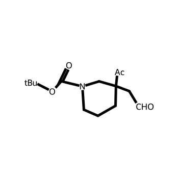 CC(=O)C1(CC=O)CCCN(C(=O)OC(C)(C)C)C1